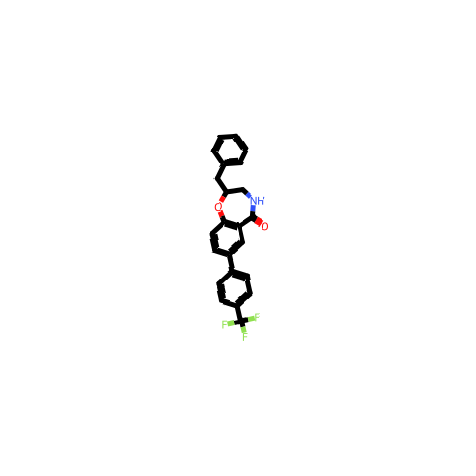 O=C1NCC(Cc2ccccc2)Oc2ccc(-c3ccc(C(F)(F)F)cc3)cc21